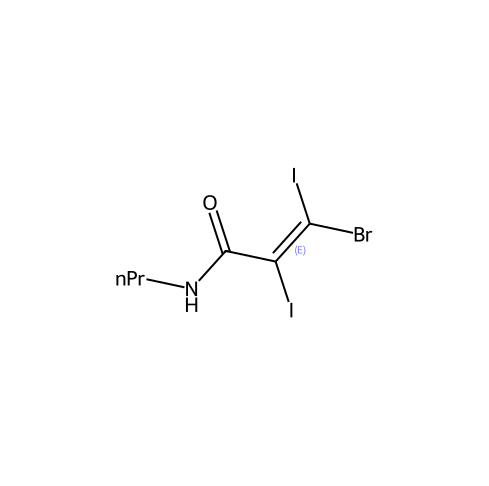 CCCNC(=O)/C(I)=C(/Br)I